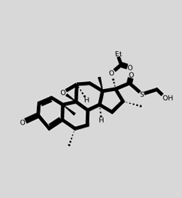 CCC(=O)O[C@]1(C(=O)SCO)[C@H](C)C[C@H]2C3C[C@H](C)C4=CC(=O)C=C[C@]4(C)[C@@]34O[C@H]4C[C@@]21C